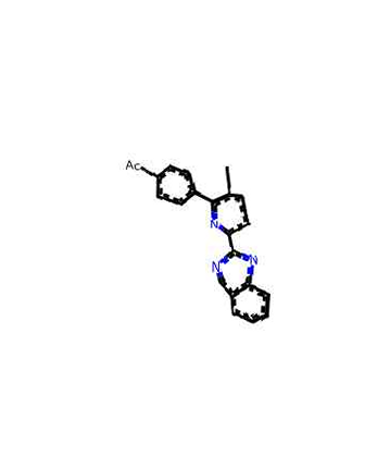 CC(=O)c1ccc(-c2nc(-c3ncc4ccccc4n3)ccc2C)cc1